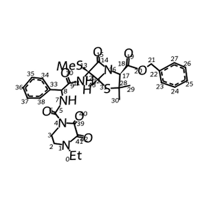 CCN1CCN(C(=O)NC(C(=O)N[C@]2(SC)C(=O)N3[C@@H](C(=O)OCc4ccccc4)C(C)(C)S[C@@H]32)c2ccccc2)C(=O)C1=O